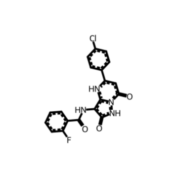 O=C(Nc1c(=O)[nH]n2c(=O)cc(-c3ccc(Cl)cc3)[nH]c12)c1ccccc1F